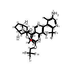 Cc1c(N)cnc(C(F)(F)F)c1-c1ncc2c(N3C[C@H]4CC[C@@H](C3)N4C(=O)OC(C)(C)C)nc(OCC(F)(F)F)nc2c1F